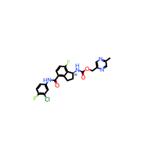 Cc1cnc(COC(=O)N[C@H]2CCc3c(C(=O)Nc4ccc(F)c(Cl)c4)ccc(F)c32)cn1